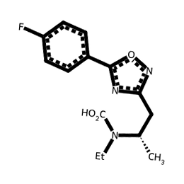 CCN(C(=O)O)[C@@H](C)Cc1noc(-c2ccc(F)cc2)n1